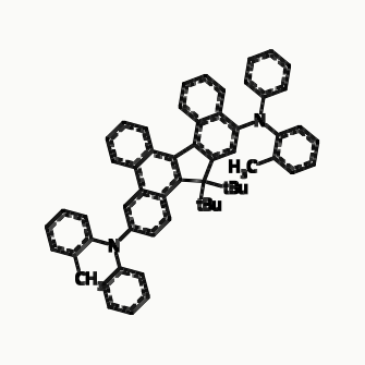 Cc1ccccc1N(c1ccccc1)c1ccc2c3c(c4ccccc4c2c1)-c1c(cc(N(c2ccccc2)c2ccccc2C)c2ccccc12)C3(C(C)(C)C)C(C)(C)C